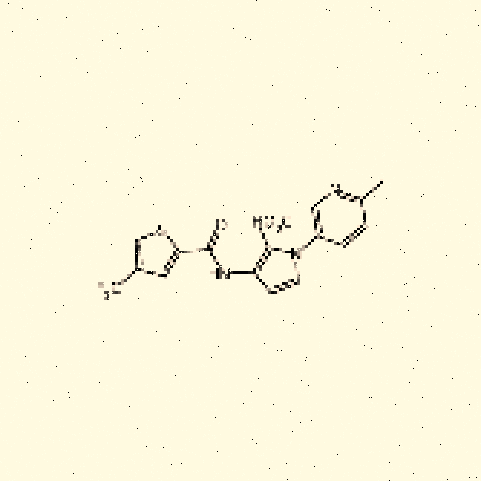 Cc1ccc(-n2ccc(NC(=O)c3cc(C(F)(F)F)cs3)c2C(=O)O)cn1